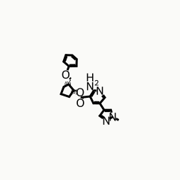 Cn1cc(-c2cnc(N)c(C(=O)O[C@H]3CCC[C@@H]3COc3ccccc3)c2)cn1